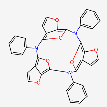 c1ccc(-n2c3oc(c4occc43)n(-c3ccccc3)c3oc(c4occc43)n(-c3ccccc3)c3oc2c2ccoc23)cc1